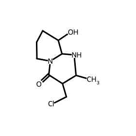 CC1NC2C(O)CCCN2C(=O)C1CCl